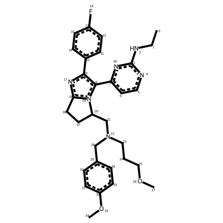 CCNc1nccc(-c2c(-c3ccc(F)cc3)nc3n2C(CN(CCCOC)Cc2ccc(OC)cc2)CC3)n1